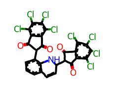 O=C1c2c(Cl)c(Cl)c(Cl)c(Cl)c2C(=O)C1c1cccc2c1NC(C1C(=O)c3c(Cl)c(Cl)c(Cl)c(Cl)c3C1=O)C=C2